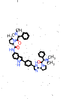 CN(C)C(C(=O)N1CCC[C@H]1c1ncc(-c2ccc(-c3cc4cc(NC(=O)[C@@H]5CCCN5C(=O)[C@H](c5ccccc5)N(C)C)ccc4[nH]3)cc2)[nH]1)c1ccccc1